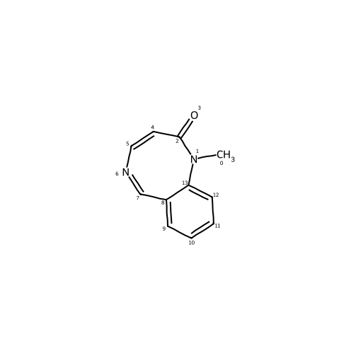 CN1C(=O)/C=C\N=C/c2ccccc21